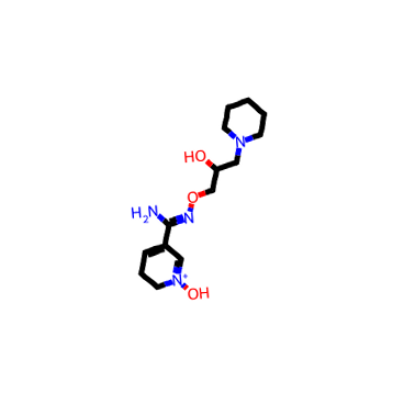 N/C(=N\OCC(O)CN1CCCCC1)C1=CCC[N+](O)=C1